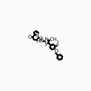 Cc1nc(NOC2CCC(=O)c3cccn32)sc1-c1ccc(OCc2ccccc2)c(F)c1